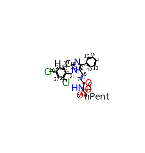 CCCCCS(=O)(=O)NC(=O)/C=C/c1c(-c2ccccc2)nc(C)n1Cc1ccc(Cl)cc1Cl